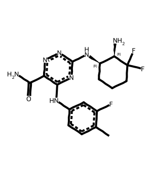 Cc1ccc(Nc2nc(N[C@@H]3CCCC(F)(F)[C@@H]3N)nnc2C(N)=O)cc1F